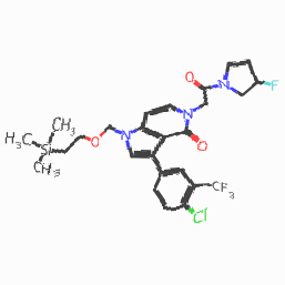 C[Si](C)(C)CCOCn1cc(-c2ccc(Cl)c(C(F)(F)F)c2)c2c(=O)n(CC(=O)N3CCC(F)C3)ccc21